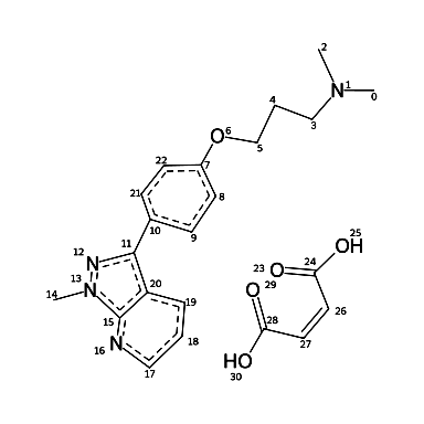 CN(C)CCCOc1ccc(-c2nn(C)c3ncccc23)cc1.O=C(O)/C=C\C(=O)O